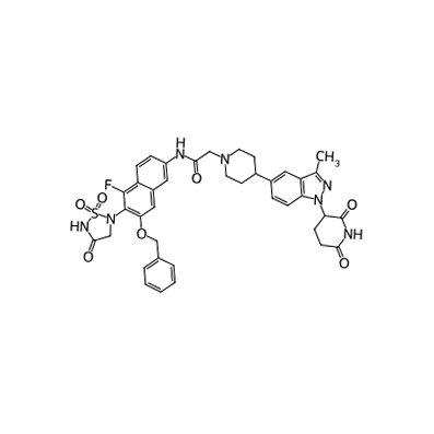 Cc1nn(C2CCC(=O)NC2=O)c2ccc(C3CCN(CC(=O)Nc4ccc5c(F)c(N6CC(=O)NS6(=O)=O)c(OCc6ccccc6)cc5c4)CC3)cc12